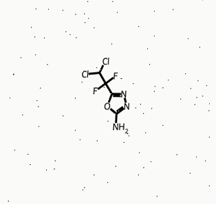 Nc1nnc(C(F)(F)C(Cl)Cl)o1